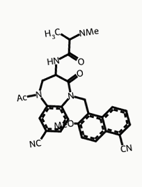 CNC(C)C(=O)NC1CN(C(C)=O)c2cc(C#N)ccc2N(Cc2c(OC)ccc3c(C#N)cccc23)C1=O